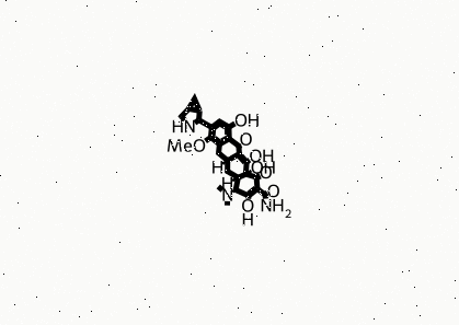 COc1c(C2NCC3CC32)cc(O)c2c1C[C@H]1C[C@H]3[C@H](N(C)C)C(O)=C(C(N)=O)C(=O)[C@@]3(O)C(O)=C1C2=O